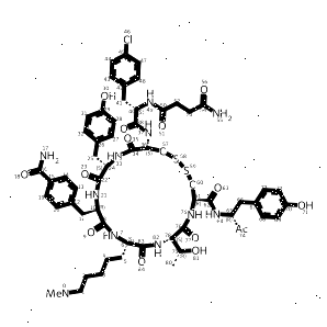 CNCCCCC[C@@H]1NC(=O)[C@@H](Cc2ccc(C(N)=O)cc2)NC(=O)[C@H](Cc2ccc(O)cc2)NC(=O)[C@H](NC(=O)[C@H](Cc2ccc(Cl)cc2)NC(=O)CCC(N)=O)CSSC[C@@H](C(=O)N[C@H](Cc2ccc(O)cc2)C(C)=O)NC(=O)[C@H]([C@@H](C)O)NC1=O